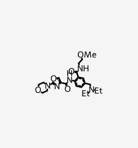 CCN(CC)Cc1ccc(NC(=O)c2coc(N3CCOCC3)n2)c(C(=O)NCCOC)c1